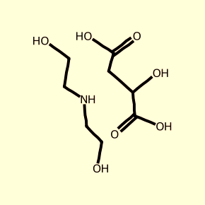 O=C(O)CC(O)C(=O)O.OCCNCCO